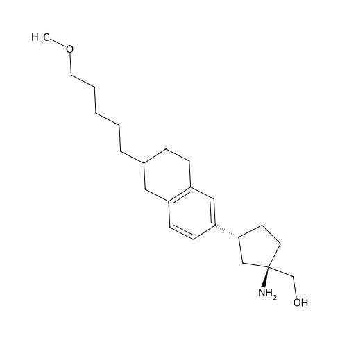 COCCCCCC1CCc2cc([C@@H]3CC[C@](N)(CO)C3)ccc2C1